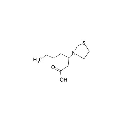 CCCCC(CC(=O)O)N1CCSC1